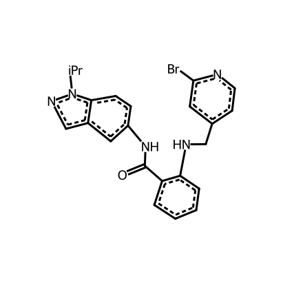 CC(C)n1ncc2cc(NC(=O)c3ccccc3NCc3ccnc(Br)c3)ccc21